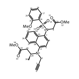 C#CCN(c1ccc(N(CC(=O)OC)S(=O)(=O)c2ccccc2OC)c2ccccc12)[C@@H](C)CC(=O)OC